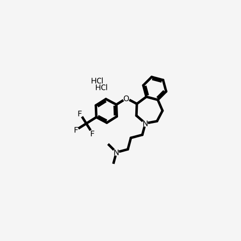 CN(C)CCCN1CCc2ccccc2C(Oc2ccc(C(F)(F)F)cc2)C1.Cl.Cl